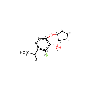 CC(C(=O)O)c1ccc(O[C@H]2CCC[C@@H]2O)cc1F